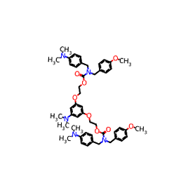 COc1ccc(CN(Cc2ccc(N(C)C)cc2)C(=O)OCCOc2cc(OCCOC(=O)N(Cc3ccc(OC)cc3)Cc3ccc(N(C)C)cc3)cc(N(C)C)c2)cc1